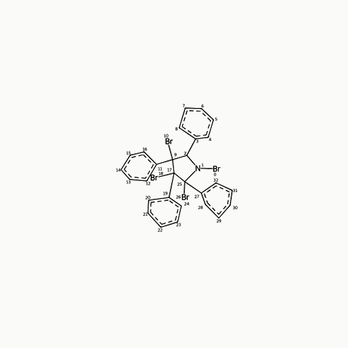 BrN1C(c2ccccc2)C(Br)(c2ccccc2)C(Br)(c2ccccc2)C1(Br)c1ccccc1